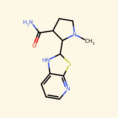 CN1CCC(C(N)=O)C1C1Nc2cccnc2S1